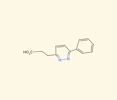 O=C(O)CCc1ccc(-c2ccccc2)nn1